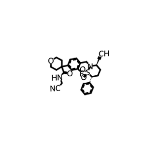 C#C[C@H]1CC[C@H](c2ccccc2)S(=O)(=O)N1Cc1ccc(C2(C(=O)NCC#N)CCOCC2)cc1F